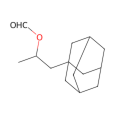 CC(CC12CC3CC(CC(C3)C1)C2)OC=O